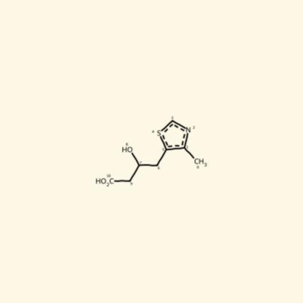 Cc1ncsc1CC(O)CC(=O)O